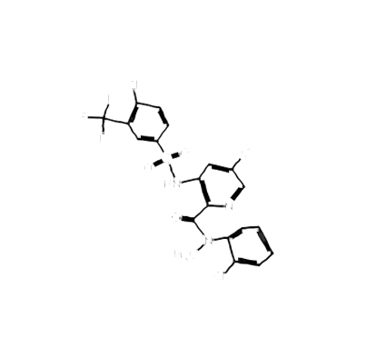 CN(C(=O)c1ncc(Cl)cc1NS(=O)(=O)c1ccc(Cl)c(C(F)(F)F)c1)c1ccccc1Cl